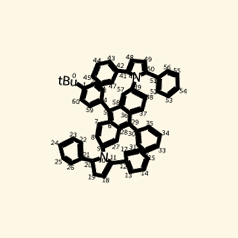 CC(C)(C)c1ccc(-c2c3ccc(N4C(c5ccccc5)=CCC4c4ccccc4)cc3c(-c3ccccc3)c3ccc(-n4c(-c5ccccc5)ccc4-c4ccccc4)cc23)cc1